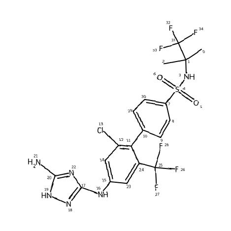 CC(C)(NS(=O)(=O)c1ccc(-c2c(Cl)cc(Nc3n[nH]c(N)n3)cc2C(F)(F)F)cc1)C(F)(F)F